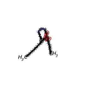 CCCCCCCC/C=C\C/C=C\C/C=C\CCCC(=O)OC[C@H](COC(=O)CCCCCCCCCCCCCC)OC(=O)CCCCCCCCCCCCCCCCCCCCC